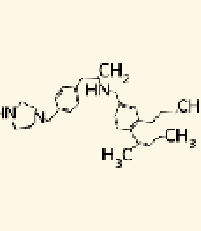 C=C(Cc1ccc(CN2CCNCC2)cc1)NCc1ccc(/C(C)=C\CC)c(CCCC)c1